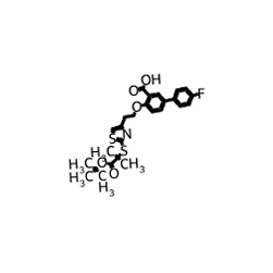 CC(C)(C)OC(=O)C(C)(C)Sc1nc(CCOc2ccc(-c3ccc(F)cc3)cc2C(=O)O)cs1